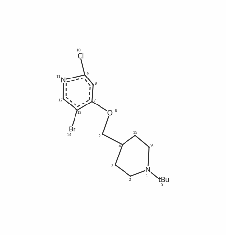 CC(C)(C)N1CCC(COc2cc(Cl)ncc2Br)CC1